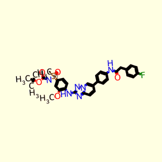 COc1cc([S@@](C)(=O)=NC(=O)OC(C)(C)C)ccc1Nc1nc2ccc(-c3ccc(NC(=O)Cc4ccc(F)cc4)cc3)cn2n1